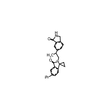 CC(C)c1ccc2c(c1)C(=O)N(CC(C)c1ccc3c(c1)C(=O)NC3)C21CC1